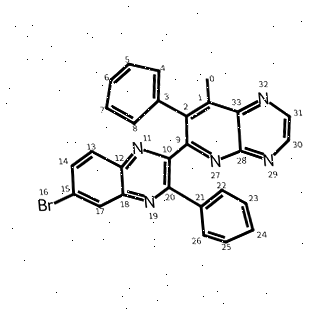 Cc1c(-c2ccccc2)c(-c2nc3ccc(Br)cc3nc2-c2ccccc2)nc2nccnc12